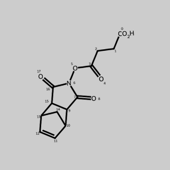 O=C(O)CCC(=O)ON1C(=O)C2C3C=CC(C3)C2C1=O